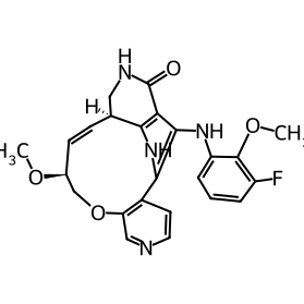 COc1c(F)cccc1Nc1c2[nH]c3c1C(=O)NC[C@@H]3/C=C\[C@H](OC)COc1cnccc1-2